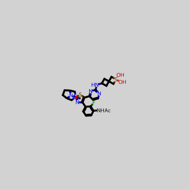 CC(=O)Nc1cccc(-c2nc(N3C4CCC3CN(C)C4)sc2-c2ccnc(NC3CC4(C3)CS(O)(O)C4)n2)c1F